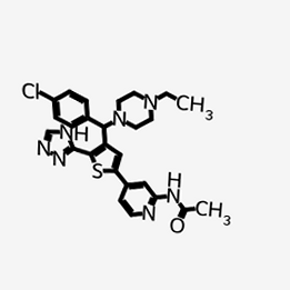 CCN1CCN(C(c2ccc(Cl)cc2)c2cc(-c3ccnc(NC(C)=O)c3)sc2-c2nnc[nH]2)CC1